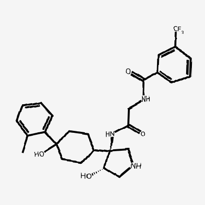 Cc1ccccc1C1(O)CCC([C@]2(NC(=O)CNC(=O)c3cccc(C(F)(F)F)c3)CNC[C@@H]2O)CC1